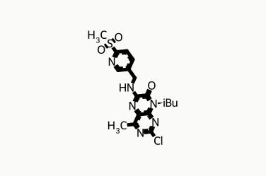 CC[C@@H](C)n1c(=O)c(NCc2ccc(S(C)(=O)=O)nc2)nc2c(C)nc(Cl)nc21